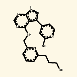 Nc1cc(-c2c[nH]c3ncnc(NCc4cccc(CCCO)n4)c23)ccn1